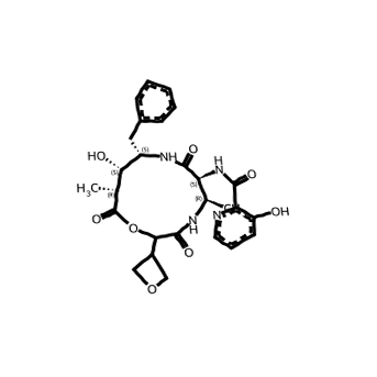 C[C@H]1NC(=O)C(C2COC2)OC(=O)[C@H](C)[C@H](O)[C@H](Cc2ccccc2)NC(=O)[C@H]1NC(=O)c1ncccc1O